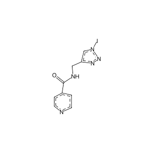 O=C(NCc1cn(I)nn1)c1ccncc1